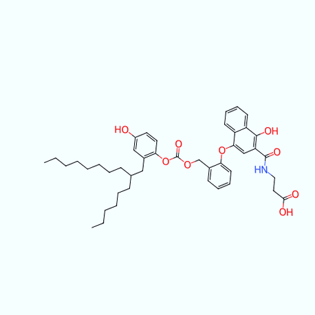 CCCCCCCCC(CCCCCC)Cc1cc(O)ccc1OC(=O)OCc1ccccc1Oc1cc(C(=O)NCCC(=O)O)c(O)c2ccccc12